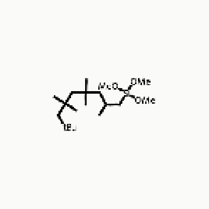 CO[Si](CC(C)CC(C)(C)CC(C)(C)CC(C)(C)C)(OC)OC